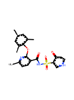 Cc1cc(C)c(Oc2nc(C(C)(C)C)ccc2C(=O)NS(=O)(=O)c2c[nH]ccc2=O)c(C)c1